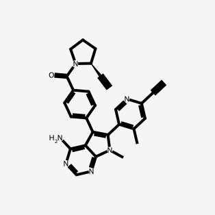 C#Cc1cc(C)c(-c2c(-c3ccc(C(=O)N4CCC[C@H]4C#C)cc3)c3c(N)ncnc3n2C)cn1